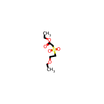 CCOCCS(=O)(=O)CC(=O)OCC